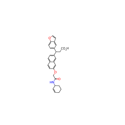 O=C(O)CC(c1ccc2ccc(OCC(=O)NC3C=CCCC3)cc2c1)c1ccc2occc2c1